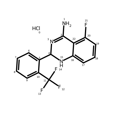 Cl.NC1=NC(c2ccccc2C(F)(F)F)Nc2cccc(F)c21